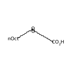 CCCCCCCCC=CCCCCCCCCCCCC(=O)OCCCCCCCCCCCCCCCCCCC(=O)O